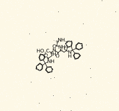 C[C@H](N)C(=O)N[C@@H](CC(=O)NC(c1ccccc1)(c1ccccc1)c1ccccc1)C(=O)N[C@@H](CC(=O)NC(c1ccccc1)(c1ccccc1)c1ccccc1)C(=O)O